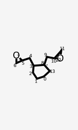 C1CCC(CC2CO2)[C](CC2CO2)C1